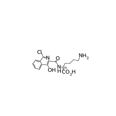 NCCCC[C@H](NC(=O)c1nc(Cl)c2ccccc2c1O)C(=O)O